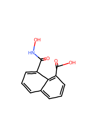 O=C(O)c1cccc2cccc(C(=O)NO)c12